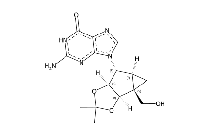 CC1(C)O[C@H]2[C@H](n3cnc4c(=O)[nH]c(N)nc43)[C@H]3C[C@]3(CO)[C@H]2O1